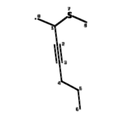 [CH2]C(C#CCCC)SC